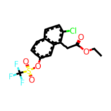 CCOC(=O)Cc1c(Cl)ccc2ccc(OS(=O)(=O)C(F)(F)F)cc12